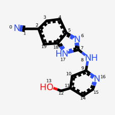 N#Cc1ccc2nc(Nc3cc(CO)ccn3)[nH]c2c1